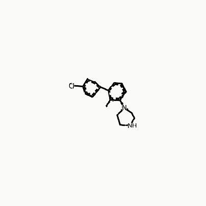 Cc1c(-c2ccc(Cl)cc2)cccc1N1CCNCC1